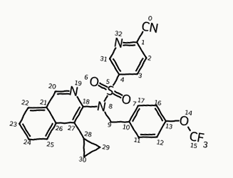 N#Cc1ccc(S(=O)(=O)N(Cc2ccc(OC(F)(F)F)cc2)c2ncc3ccccc3c2C2CC2)cn1